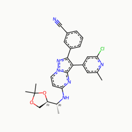 Cc1cc(-c2c(-c3cccc(C#N)c3)nn3ccc(N[C@H](C)[C@H]4COC(C)(C)O4)nc23)cc(Cl)n1